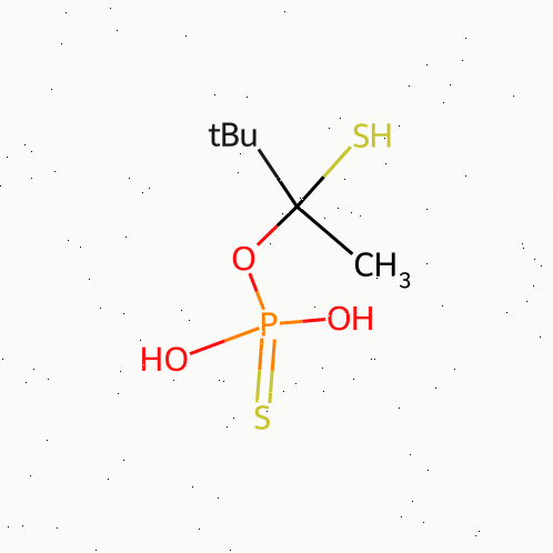 CC(C)(C)C(C)(S)OP(O)(O)=S